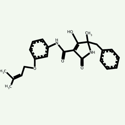 CC(C)=CCOc1cccc(NC(=O)C2=C(O)C(C)(Cc3ccccc3)NC2=O)c1